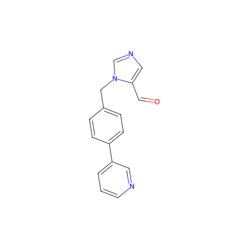 O=Cc1cncn1Cc1ccc(-c2cccnc2)cc1